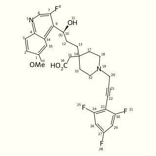 COc1ccc2ncc(F)c([C@@H](O)CCC3(CC(=O)O)CCN(CC#Cc4c(F)cc(F)cc4F)CC3)c2c1